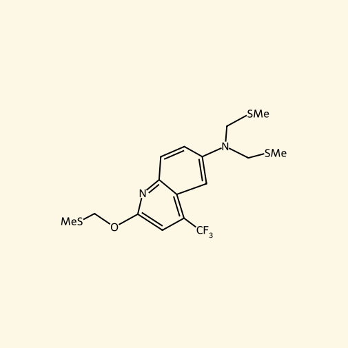 CSCOc1cc(C(F)(F)F)c2cc(N(CSC)CSC)ccc2n1